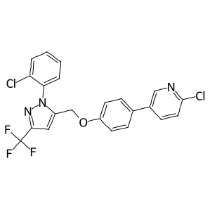 FC(F)(F)c1cc(COc2ccc(-c3ccc(Cl)nc3)cc2)n(-c2ccccc2Cl)n1